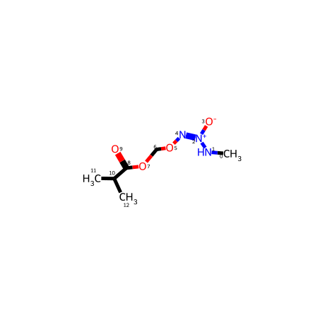 CN/[N+]([O-])=N\OCOC(=O)C(C)C